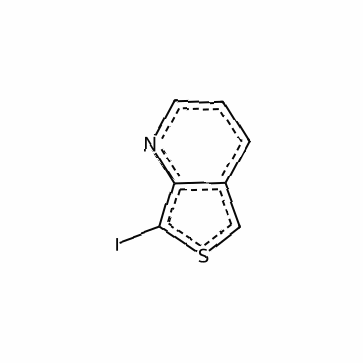 Ic1scc2cccnc12